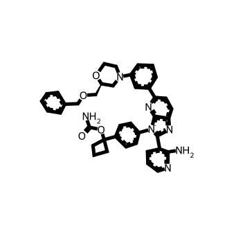 NC(=O)OC1(c2ccc(-n3c(-c4cccnc4N)nc4ccc(-c5cccc(N6CCO[C@H](COCc7ccccc7)C6)c5)nc43)cc2)CCC1